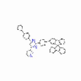 c1ccc(-c2ccc(-c3cc(-c4cccnc4)nc(-c4ccc(-c5ccc6c(c5)C5(c7ccccc7-c7ccccc75)c5ccccc5-6)cc4)n3)cc2)cc1